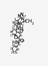 CC(C)n1cnnc1-c1cccc(Nc2cccc3oc(C(=O)NCc4ccccc4)cc(=O)c23)n1